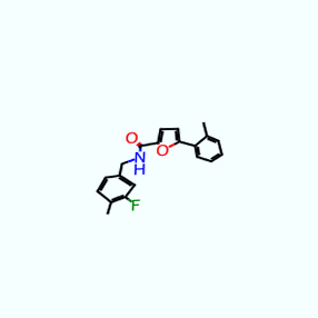 Cc1ccc(CNC(=O)c2ccc(-c3ccccc3C)o2)cc1F